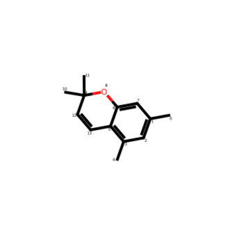 Cc1cc(C)c2c(c1)OC(C)(C)C=C2